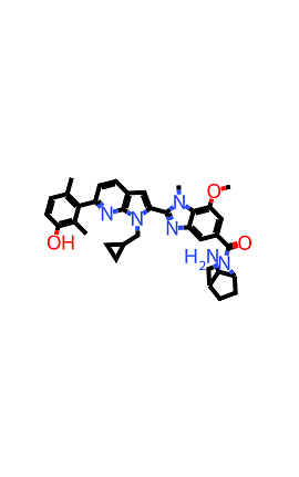 COc1cc(C(=O)N2CC3CCC2C3N)cc2nc(-c3cc4ccc(-c5c(C)ccc(O)c5C)nc4n3CC3CC3)n(C)c12